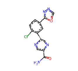 NC(=O)c1cnc(-c2cc(-c3nnco3)ccc2Cl)cn1